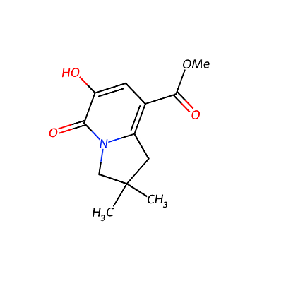 COC(=O)c1cc(O)c(=O)n2c1CC(C)(C)C2